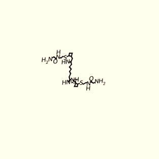 CS(C)(NC(=N)CCCCCCC(=N)CC1CCC1SCCNC(=O)CN)C1CCC1SCCNC(=O)CN